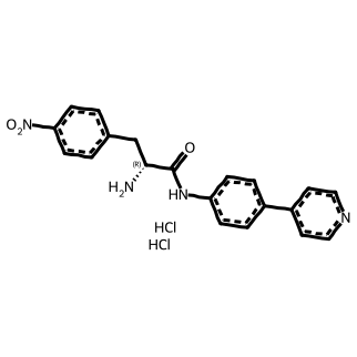 Cl.Cl.N[C@H](Cc1ccc([N+](=O)[O-])cc1)C(=O)Nc1ccc(-c2ccncc2)cc1